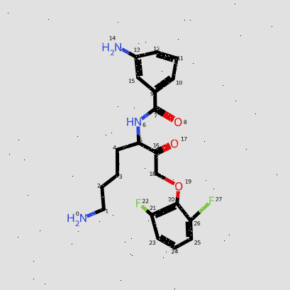 NCCCCC(NC(=O)c1cccc(N)c1)C(=O)COc1c(F)cccc1F